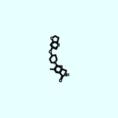 Cc1cc2c(nc1N1CCC(Oc3cnc4c(c3)OCC4)CC1)CNC2=O